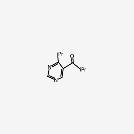 CC(C)C(=O)c1cncnc1C(C)C